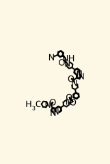 CC1CCN(C(=O)c2cnn3ccc(C4CCN(S(=O)(=O)c5cccc(C6CCN(C(=O)c7cnn8ccc(C9CCN(C(=O)Nc%10cccc(C#N)c%10)CC9)cc78)CC6)c5)CC4)cc23)CC1